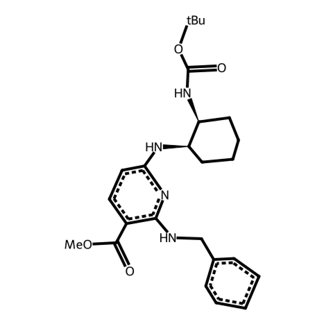 COC(=O)c1ccc(N[C@@H]2CCCC[C@@H]2NC(=O)OC(C)(C)C)nc1NCc1ccccc1